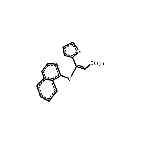 O=C(O)/C=C(/Oc1cccc2ccccc12)c1cccs1